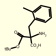 Cc1ccccc1CC(N)(C(=O)O)C(=O)OC(C)(C)C